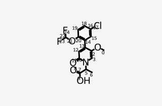 COc1cn(C(C)C(=O)O)c(=O)cc1-c1cc(Cl)ccc1OC(F)F